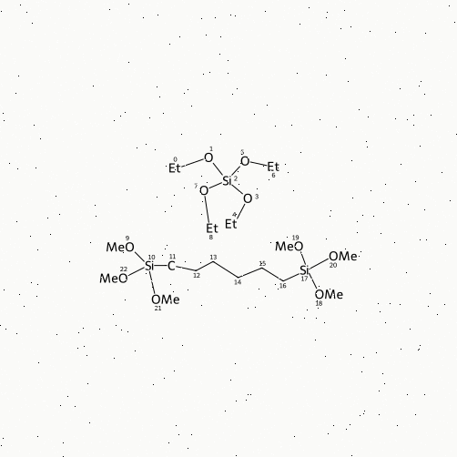 CCO[Si](OCC)(OCC)OCC.CO[Si](CCCCCC[Si](OC)(OC)OC)(OC)OC